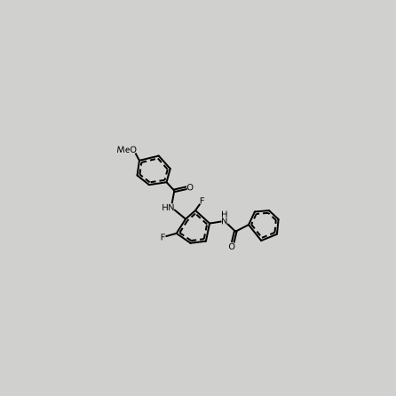 COc1ccc(C(=O)Nc2c(F)ccc(NC(=O)c3ccccc3)c2F)cc1